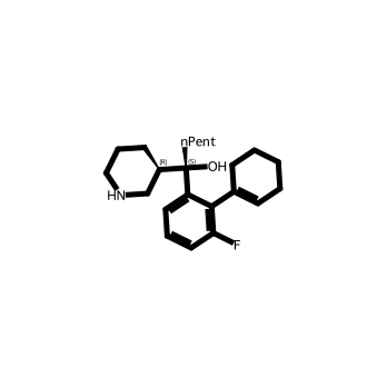 CCCCC[C@@](O)(c1cccc(F)c1C1=CCCCC1)[C@@H]1CCCNC1